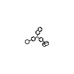 c1ccc2cc(N(c3ccc(C4CCCCC4)cc3)c3ccc(C45CC6CC(CC(C6)C4)C5)cc3)ccc2c1